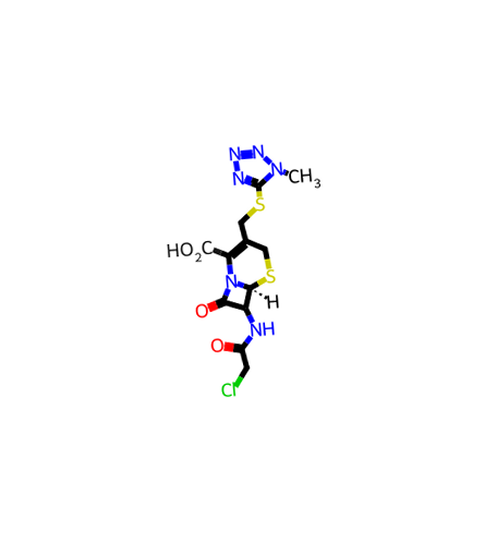 Cn1nnnc1SCC1=C(C(=O)O)N2C(=O)C(NC(=O)CCl)[C@@H]2SC1